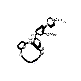 COc1cc(Nc2ncc3c(n2)Nc2cccc(n2)OCC/C=C\CNC3=O)ccc1N1CCN(C)CC1